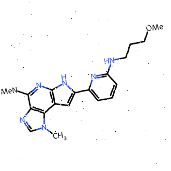 CNc1nc2[nH]c(-c3cccc(NCCCOC)n3)cc2c2c1ncn2C